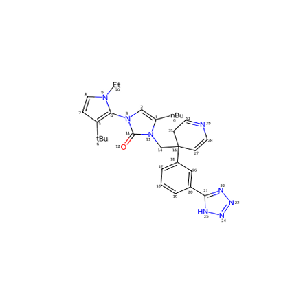 CCCCc1cn(-c2c(C(C)(C)C)ccn2CC)c(=O)n1CC1(c2cccc(-c3nnn[nH]3)c2)C=CN=CC1